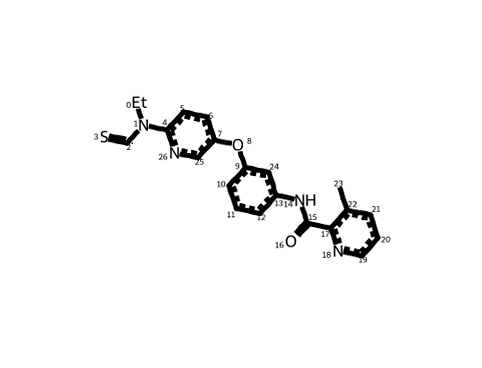 CCN([C]=S)c1ccc(Oc2cccc(NC(=O)c3ncccc3C)c2)cn1